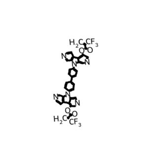 C=C(C(=O)Oc1cncc2c1c1ccncc1n2-c1ccc(-c2ccc(-n3c4cnccc4c4c(OC(=O)C(=C)C(F)(F)F)cncc43)cc2)cc1)C(F)(F)F